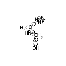 CC[C@@H](COc1ccc(-c2noc(C(F)(F)F)n2)cc1)NC(=O)C=C(C)c1cc2cc(O)ccc2o1